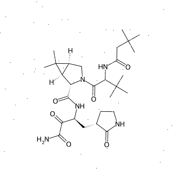 CC(C)(C)CC(=O)NC(C(=O)N1C[C@H]2[C@@H]([C@H]1C(=O)N[C@@H](C[C@@H]1CCNC1=O)C(=O)C(N)=O)C2(C)C)C(C)(C)C